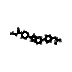 CC(C)OC(=O)N1CCC(c2nc3ccc(-c4ccc(C[SH](=O)=O)cc4)nc3s2)CC1